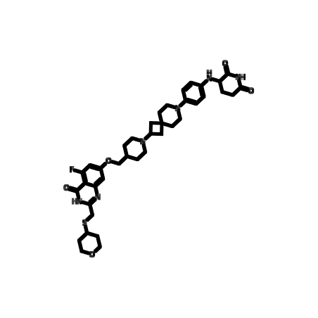 O=C1CCC(Nc2ccc(N3CCC4(CC3)CC(N3CCC(COc5cc(F)c6c(=O)[nH]c(CSC7CCOCC7)nc6c5)CC3)C4)cc2)C(=O)N1